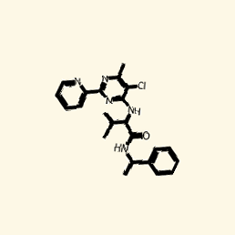 Cc1nc(-c2ccccn2)nc(NC(C(=O)NC(C)c2ccccc2)C(C)C)c1Cl